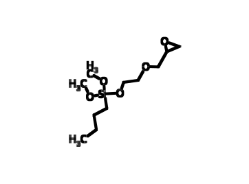 CCCC[Si](OC)(OC)OCCOCC1CO1